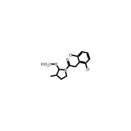 CCOC(=O)OC1C(C)CCN1C(=O)Cc1c(Cl)cccc1Cl